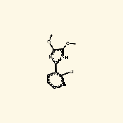 COc1nc(-c2ccccc2Cl)[nH]c1OC